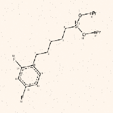 CCCO[SiH](CCCCCc1ccc(F)cc1F)OCCC